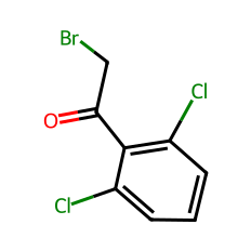 O=C(CBr)c1c(Cl)cccc1Cl